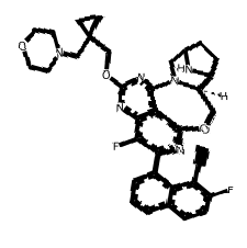 C#Cc1c(F)ccc2cccc(-c3nc4c5c(nc(OCC6(CN7CCOCC7)CC6)nc5c3F)N3CC5CCC(N5)[C@H]3CO4)c12